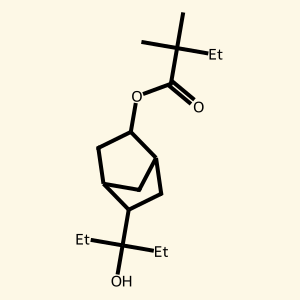 CCC(C)(C)C(=O)OC1CC2CC1CC2C(O)(CC)CC